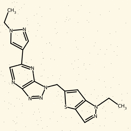 CCn1cc(-c2cnc3nnn(Cc4cc5c(cnn5CC)s4)c3n2)cn1